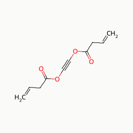 C=CCC(=O)OC#COC(=O)CC=C